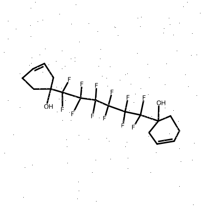 OC1(C(F)(F)C(F)(F)C(F)(F)C(F)(F)C(F)(F)C(F)(F)C2(O)CC=CCC2)CC=CCC1